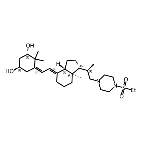 CCS(=O)(=O)N1CCN(C[C@H](C)[C@H]2CC[C@H]3/C(=C/C=C4/C[C@@H](O)C[C@H](O)C4(C)C)CCC[C@]23C)CC1